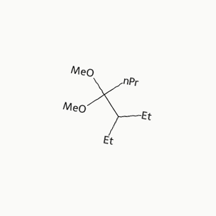 CCCC(OC)(OC)C(CC)CC